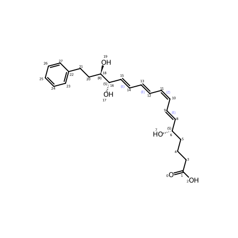 O=C(O)CCC[C@H](O)/C=C/C=C\C=C\C=C\[C@H](O)[C@H](O)CCc1ccccc1